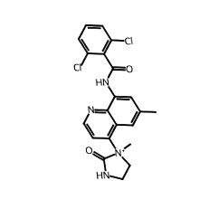 Cc1cc(NC(=O)c2c(Cl)cccc2Cl)c2nccc([N+]3(C)CCNC3=O)c2c1